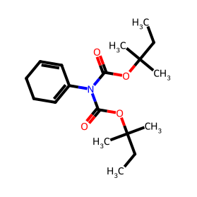 CCC(C)(C)OC(=O)N(C(=O)OC(C)(C)CC)C1=CCCC=C1